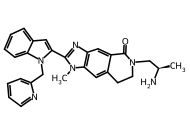 C[C@@H](N)CN1CCc2cc3c(cc2C1=O)nc(-c1cc2ccccc2n1Cc1ccccn1)n3C